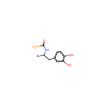 CC(=O)C(Cc1ccc(O)c(O)c1)NC(=O)P